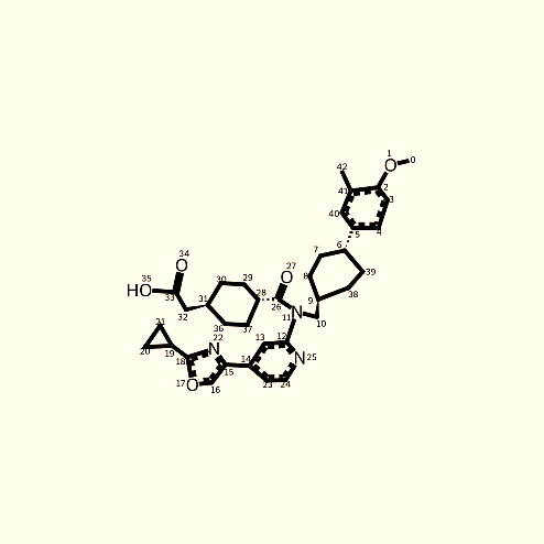 COc1ccc([C@H]2CC[C@H](CN(c3cc(-c4coc(C5CC5)n4)ccn3)C(=O)[C@H]3CC[C@H](CC(=O)O)CC3)CC2)cc1C